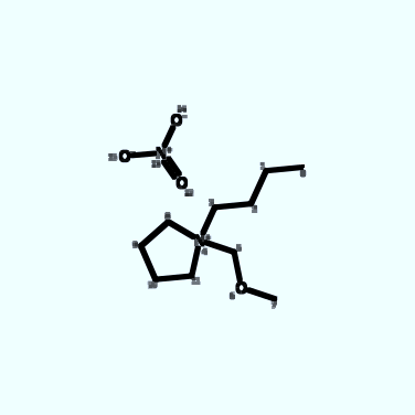 CCCC[N+]1(COC)CCCC1.O=[N+]([O-])[O-]